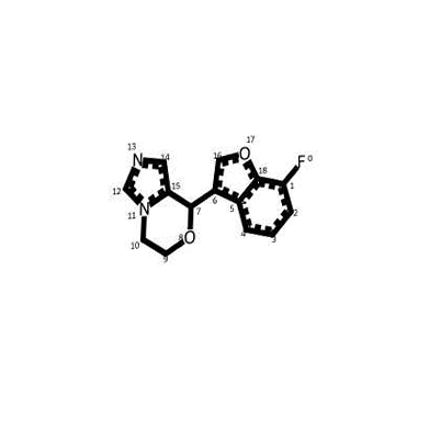 Fc1cccc2c(C3OCCn4cncc43)coc12